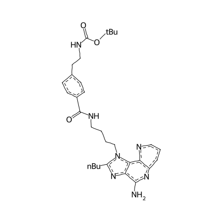 CCCCc1nc2c(N)nc3cccnc3c2n1CCCCNC(=O)c1ccc(CCNC(=O)OC(C)(C)C)cc1